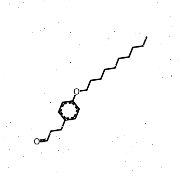 CCCCCCCCCCOc1ccc(CCC=O)cc1